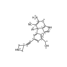 Cc1n[nH]c2c1C(c1cc(C#CC3CNC3)cc(CO)c1)(C(C)C)C(C#N)=C(N)O2